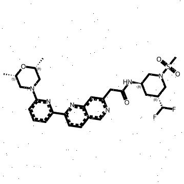 C[C@@H]1CN(c2cccc(-c3ccc4cnc(CC(=O)N[C@@H]5C[C@@H](C(F)F)CN(S(C)(=O)=O)C5)cc4n3)n2)C[C@H](C)O1